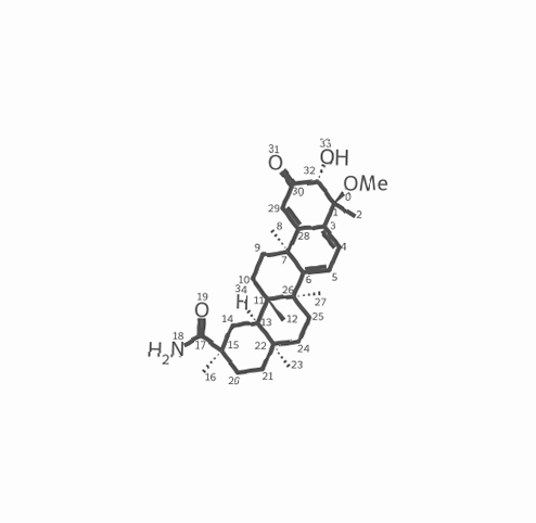 CO[C@@]1(C)C2=CC=C3[C@@](C)(CC[C@@]4(C)[C@@H]5C[C@](C)(C(N)=O)CC[C@]5(C)CC[C@]34C)C2=CC(=O)[C@@H]1O